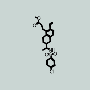 C=Cc1ccc2c(c1CCC(=O)OC)CCC(C(C)NS(=O)(=O)c1ccc(Cl)cc1)C2